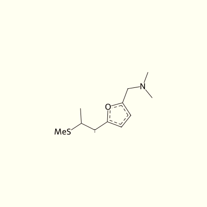 CSC(C)[CH]c1ccc(CN(C)C)o1